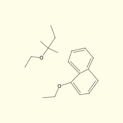 CCOC(C)(C)CC.CCOc1cccc2ccccc12